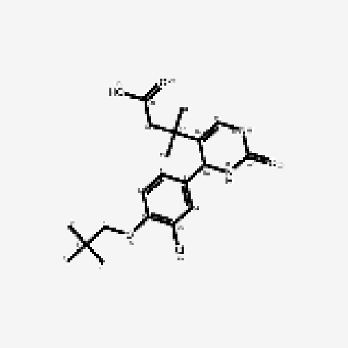 CC(C)(C)COc1ccc(C2NC(=O)NC=C2C(C)(C)CC(=O)O)cc1Cl